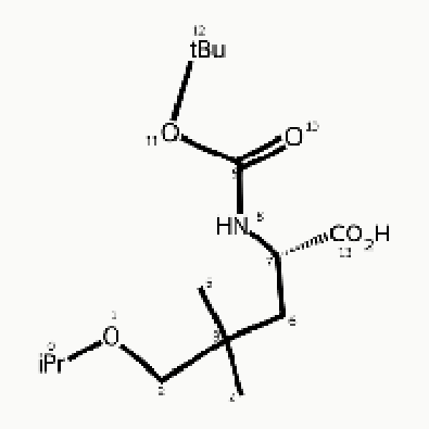 CC(C)OCC(C)(C)C[C@H](NC(=O)OC(C)(C)C)C(=O)O